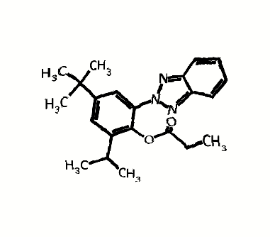 CCC(=O)Oc1c(C(C)C)cc(C(C)(C)C)cc1-n1nc2ccccc2n1